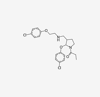 CCC(=O)N1CCC(CNCCOc2ccc(Cl)cc2)C1Oc1ccc(Cl)cc1